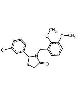 COc1cccc(CN2C(=O)CSC2c2cccc(Cl)c2)c1OC